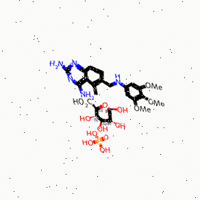 COc1cc(NCc2ccc3nc(N)nc(N)c3c2C)cc(OC)c1OC.O=C(O)[C@H]1O[C@@H](O)[C@H](O)[C@@H](O)[C@@H]1O.O=P(O)(O)O